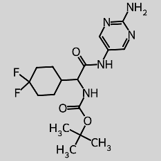 CC(C)(C)OC(=O)NC(C(=O)Nc1cnc(N)nc1)C1CCC(F)(F)CC1